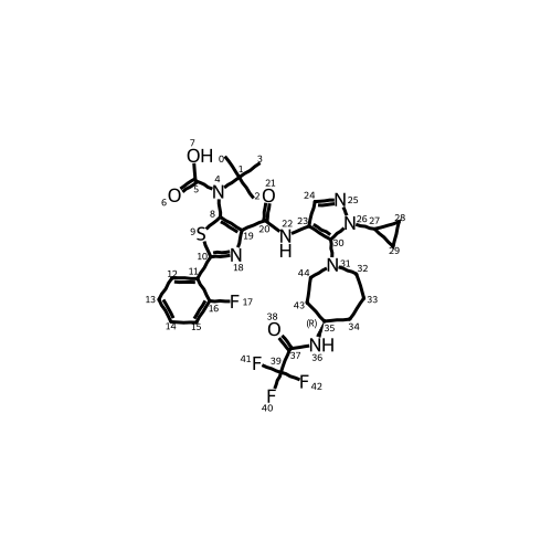 CC(C)(C)N(C(=O)O)c1sc(-c2ccccc2F)nc1C(=O)Nc1cnn(C2CC2)c1N1CCC[C@@H](NC(=O)C(F)(F)F)CC1